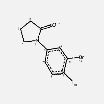 O=C1CCCN1c1ccc(I)c(Br)c1